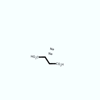 O=C(O)CCC(=O)O.[Na].[Na]